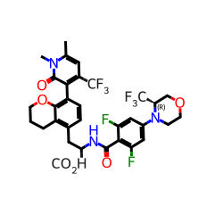 Cc1cc(C(F)(F)F)c(-c2ccc(CC(NC(=O)c3c(F)cc(N4CCOC[C@@H]4C(F)(F)F)cc3F)C(=O)O)c3c2OCCC3)c(=O)n1C